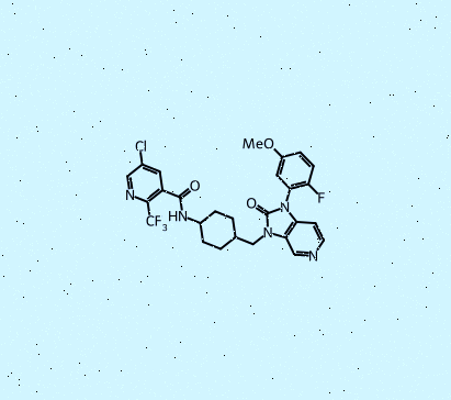 COc1ccc(F)c(-n2c(=O)n(CC3CCC(NC(=O)c4cc(Cl)cnc4C(F)(F)F)CC3)c3cnccc32)c1